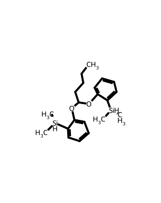 CCCCC(Oc1ccccc1[SiH](C)C)Oc1ccccc1[SiH](C)C